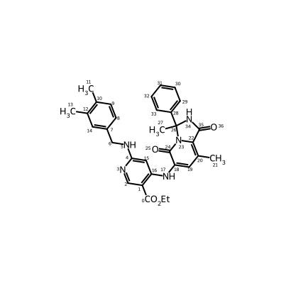 CCOC(=O)c1cnc(NCc2ccc(C)c(C)c2)cc1Nc1cc(C)c2n(c1=O)C(C)(c1ccccc1)NC2=O